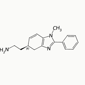 Cn1c(-c2ccccc2)nc2c1C=C[C@H](CCN)C2